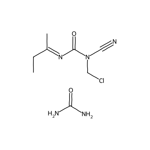 CCC(C)=NC(=O)N(C#N)CCl.NC(N)=O